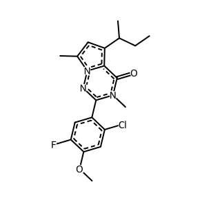 CCC(C)c1cc(C)n2nc(-c3cc(F)c(OC)cc3Cl)n(C)c(=O)c12